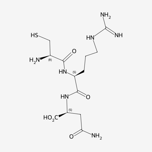 N=C(N)NCCC[C@H](NC(=O)[C@@H](N)CS)C(=O)N[C@@H](CC(N)=O)C(=O)O